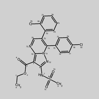 CCOC(=O)c1c(NS(C)(=O)=O)nn2c(-c3ccc(Cl)cc3)c(-c3ccccc3Cl)cnc12